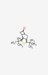 CC(C)(C)c1sc(C(C)(C)C)c2c1CC1C(=O)CC21